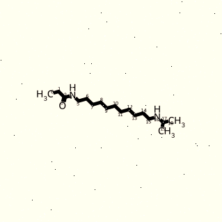 CCC(=O)NCCCCCCCCCCCNC(C)C